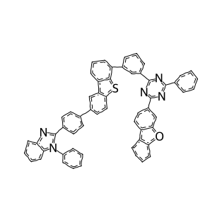 c1ccc(-c2nc(-c3cccc(-c4cccc5c4sc4ccc(-c6ccc(-c7nc8ccccc8n7-c7ccccc7)cc6)cc45)c3)nc(-c3ccc4c(c3)oc3ccccc34)n2)cc1